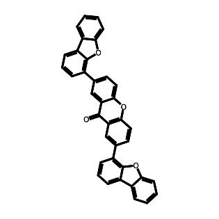 O=c1c2cc(-c3cccc4c3oc3ccccc34)ccc2oc2ccc(-c3cccc4c3oc3ccccc34)cc12